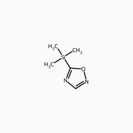 C[Si](C)(C)c1ncno1